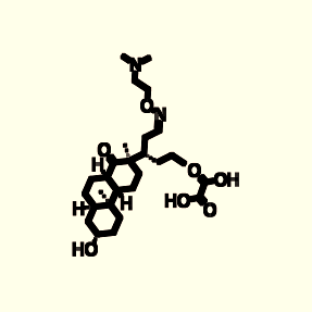 CCC[C@@H](C/C=N\OCCN(C)C)[C@@]1(C)CC[C@H]2[C@@H](CC[C@@H]3C[C@@H](O)CC[C@@]32C)C1=O.O=C(O)C(=O)O